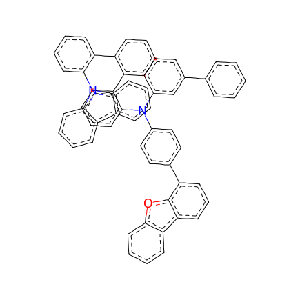 c1ccc(-c2cccc(N(c3ccc(-c4cccc5c4oc4ccccc45)cc3)c3ccccc3-c3ccccc3-c3ccccc3-n3c4ccccc4c4ccccc43)c2)cc1